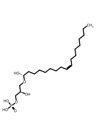 CCCCCCCC/C=C\CCCCCCC[C@@H](O)OC[C@@H](O)COP(=O)(O)O